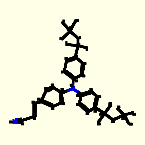 CC(C)(C)CC(C)(C)c1ccc(N(c2ccc(/C=C/C#N)cc2)c2ccc(C(C)(C)CC(C)(C)C)cc2)cc1